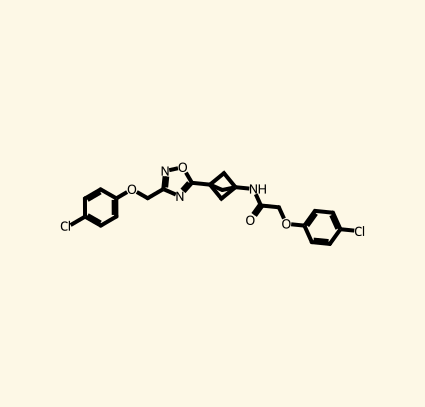 O=C(COc1ccc(Cl)cc1)NC12CC(c3nc(COc4ccc(Cl)cc4)no3)(C1)C2